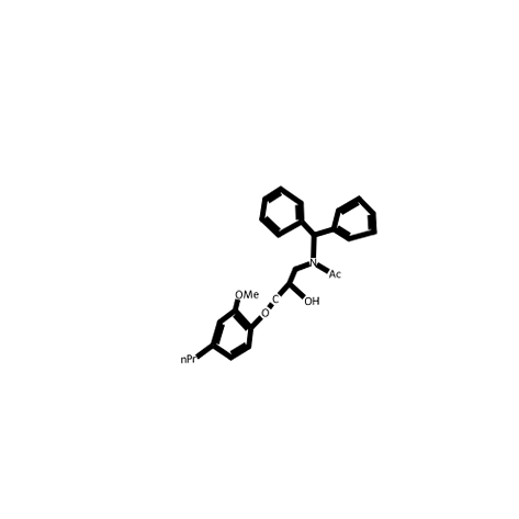 CCCc1ccc(OCC(O)CN(C(C)=O)C(c2ccccc2)c2ccccc2)c(OC)c1